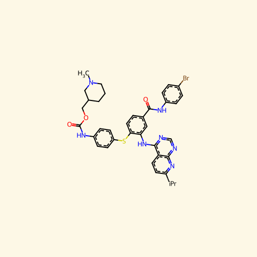 CC(C)c1ccc2c(Nc3cc(C(=O)Nc4ccc(Br)cc4)ccc3Sc3ccc(NC(=O)OCC4CCCN(C)C4)cc3)ncnc2n1